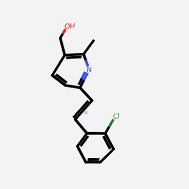 Cc1nc(/C=C/c2ccccc2Cl)ccc1CO